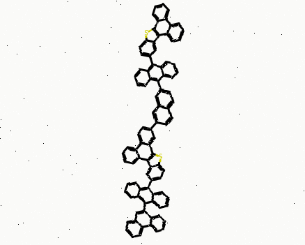 c1ccc2c(c1)cc(-c1c3ccccc3c(-c3ccc4sc5c6cc(-c7ccc8ccc(-c9c%10ccccc%10c(-c%10ccc%11sc%12c%13ccccc%13c%13ccccc%13c%12c%11c%10)c%10ccccc9%10)cc8c7)ccc6c6ccccc6c5c4c3)c3ccccc13)c1ccccc12